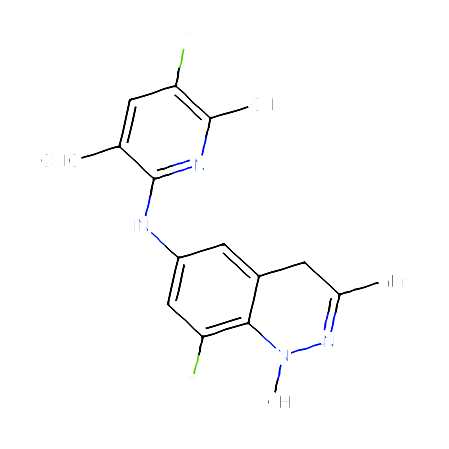 CCCC1=NN(C)c2c(F)cc(Nc3nc(C)c(F)cc3C=O)cc2C1